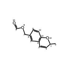 CC1C=Cc2cc(COC=O)ccc2O1